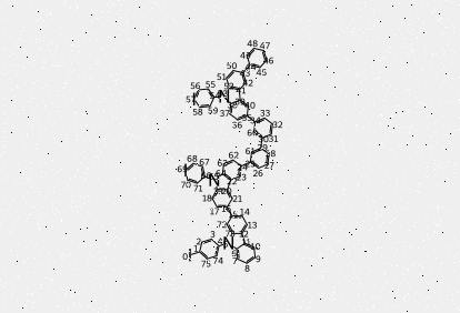 Ic1ccc(-n2c3ccccc3c3ccc(-c4ccc5c(c4)c4cc(-c6cccc(-c7cccc(-c8ccc9c(c8)c8cc(-c%10ccccc%10)ccc8n9C8=CC=IC=C8)c7)c6)ccc4n5C4=CC=IC=C4)cc32)cc1